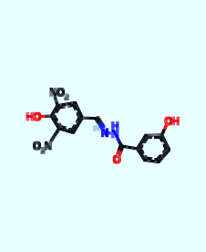 O=C(N/N=C/c1cc([N+](=O)[O-])c(O)c([N+](=O)[O-])c1)c1cccc(O)c1